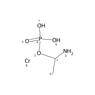 CC(N)OP(=O)(O)O.[Cr]